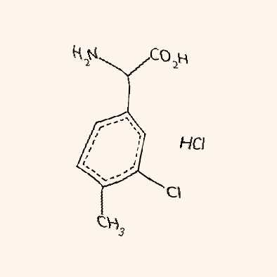 Cc1ccc(C(N)C(=O)O)cc1Cl.Cl